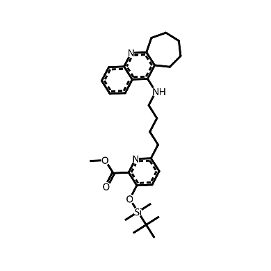 COC(=O)c1nc(CCCCNc2c3c(nc4ccccc24)CCCCC3)ccc1O[Si](C)(C)C(C)(C)C